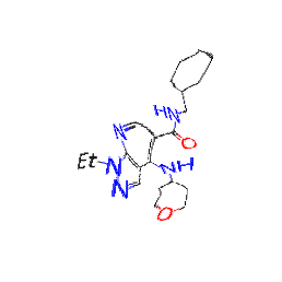 CCn1ncc2c(NC3CCOCC3)c(C(=O)NCC3CCCCC3)cnc21